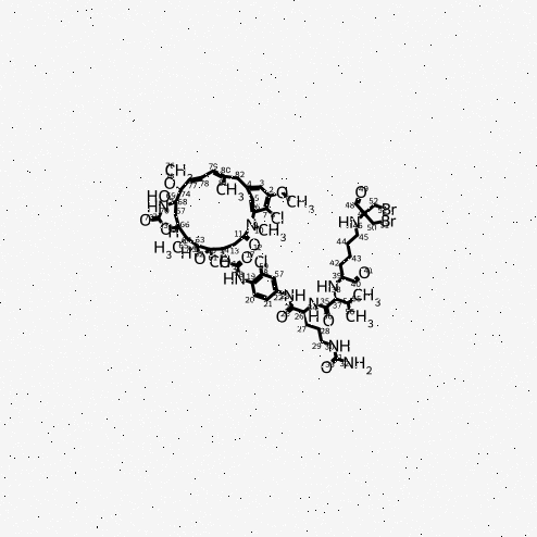 COc1cc2cc(c1Cl)N(C)C(=O)C[C@H](OC(=O)Nc1ccc(NC(=O)[C@H](CCCNC(N)=O)NC(=O)[C@@H](NC(C=O)CCCCNC(C=O)(CBr)CBr)C(C)C)cc1Cl)[C@]1(C)O[C@H]1[C@H](C)[C@@H]1C[C@@](O)(NC(=O)O1)[C@H](OC)/C=C/C=C(\C)C2